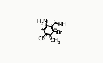 Cc1c(Cl)cc(N)c(C=N)c1Br